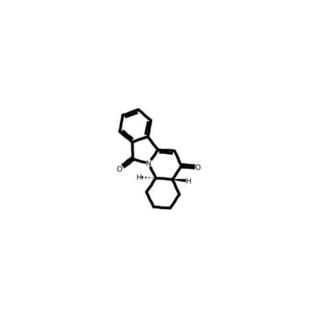 O=C1C=C2c3ccccc3C(=O)N2[C@@H]2CCCC[C@@H]12